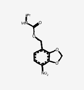 CC(C)NC(=O)OCc1ccc([N+](=O)[O-])c2c1OCO2